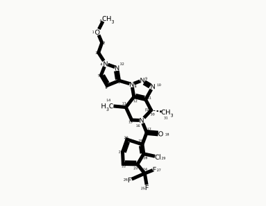 COCCn1ccc(-n2nnc3c2C(C)CN(C(=O)c2cccc(C(F)(F)F)c2Cl)[C@H]3C)n1